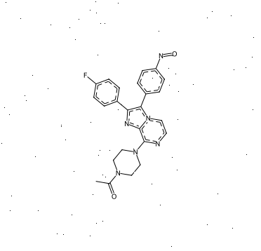 CC(=O)N1CCN(c2nccn3c(-c4ccc(N=O)cc4)c(-c4ccc(F)cc4)nc23)CC1